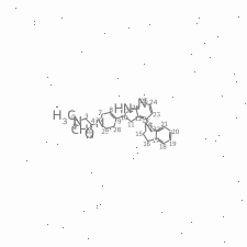 CN(C)CC(=O)N1CC=C(C2Cc3c(N4CCc5ccccc54)ccnc3N2)CC1